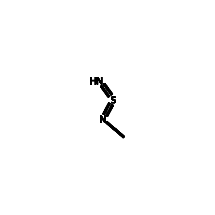 CN=S=N